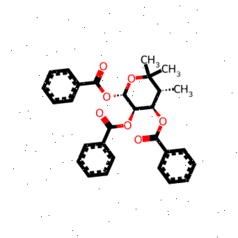 C[C@@H]1[C@@H](OC(=O)c2ccccc2)[C@@H](OC(=O)c2ccccc2)[C@H](OC(=O)c2ccccc2)OC1(C)C